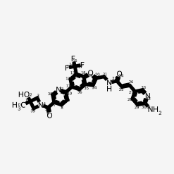 CC1(O)CN(C(=O)c2ccc(-c3cc(C(F)(F)F)c4oc(CNC(=O)/C=C/c5ccc(N)nc5)cc4c3)nc2)C1